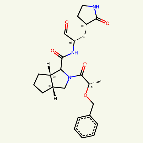 C[C@H](OCc1ccccc1)C(=O)N1C[C@@H]2CCC[C@@H]2C1C(=O)N[C@H](C=O)C[C@@H]1CCNC1=O